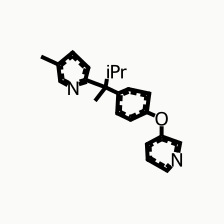 Cc1ccc(C(C)(c2ccc(Oc3cccnc3)cc2)C(C)C)nc1